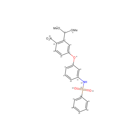 COC(OC)c1cc(Oc2cccc(NS(=O)(=O)c3ccccc3)c2)ccc1[N+](=O)[O-]